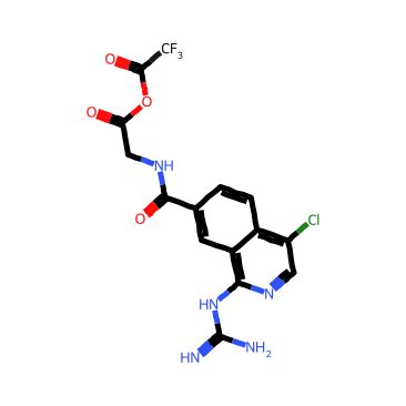 N=C(N)Nc1ncc(Cl)c2ccc(C(=O)NCC(=O)OC(=O)C(F)(F)F)cc12